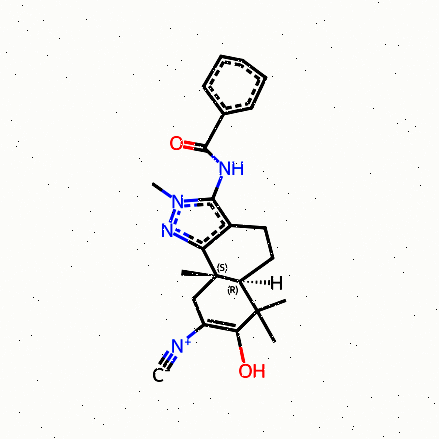 [C-]#[N+]C1=C(O)C(C)(C)[C@@H]2CCc3c(nn(C)c3NC(=O)c3ccccc3)[C@@]2(C)C1